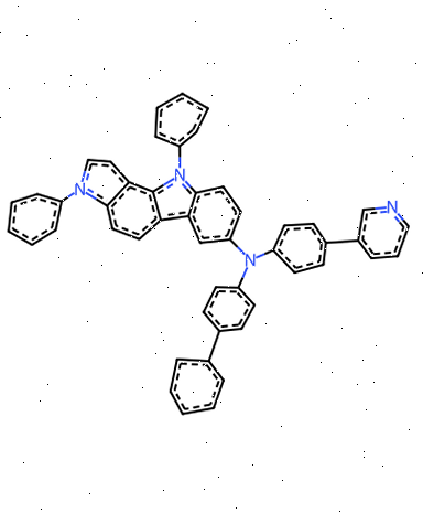 c1ccc(-c2ccc(N(c3ccc(-c4cccnc4)cc3)c3ccc4c(c3)c3ccc5c(ccn5-c5ccccc5)c3n4-c3ccccc3)cc2)cc1